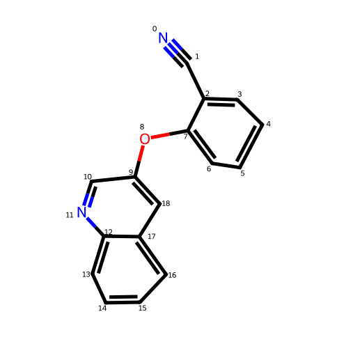 N#Cc1ccccc1Oc1cnc2ccccc2c1